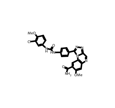 COc1ccc(NC(=O)Nc2ccc(-c3nnc4cnc5cc(OC)c(C(N)=O)cc5n34)cc2)cc1Cl